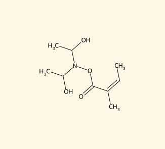 CC=C(C)C(=O)ON(C(C)O)C(C)O